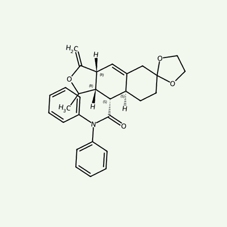 C=C1OC(C)[C@H]2[C@@H](C(=O)N(c3ccccc3)c3ccccc3)[C@@H]3CCC4(CC3=C[C@@H]12)OCCO4